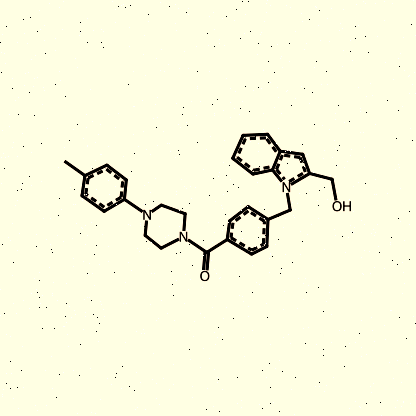 Cc1ccc(N2CCN(C(=O)c3ccc(Cn4c(CO)cc5ccccc54)cc3)CC2)cc1